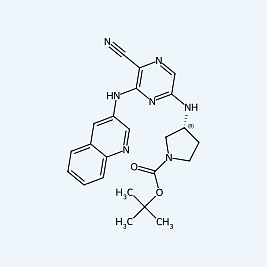 CC(C)(C)OC(=O)N1CC[C@@H](Nc2cnc(C#N)c(Nc3cnc4ccccc4c3)n2)C1